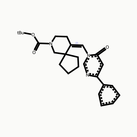 CC(C)(C)OC(=O)N1CC/C(=C/n2cnc(-c3ccccc3)cc2=O)C2(CCCC2)C1